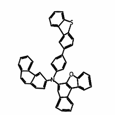 c1ccc2c(c1)ccc1ccc(N(c3ccc(-c4ccc5sc6ccccc6c5c4)cc3)c3cc4ccccc4c4c3oc3ccccc34)cc12